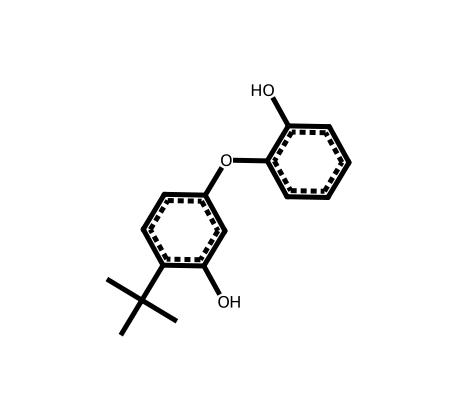 CC(C)(C)c1ccc(Oc2ccccc2O)cc1O